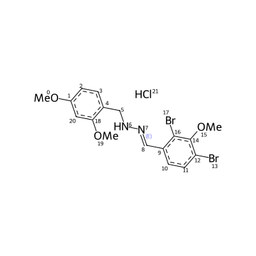 COc1ccc(CN/N=C/c2ccc(Br)c(OC)c2Br)c(OC)c1.Cl